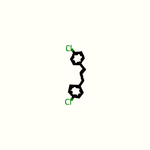 Clc1ccc(/C=C/Cc2ccc(Cl)cc2)cc1